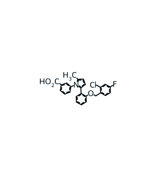 Cc1ccc(-c2ccccc2OCc2ccc(F)cc2Cl)n1-c1cccc(C(=O)O)c1